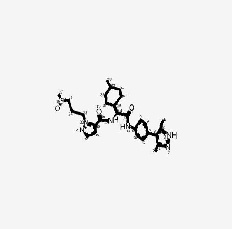 Cc1n[nH]c(C)c1-c1ccc(NC(=O)[C@@H](NC(=O)c2ccnn2CCC[S+](C)[O-])C2CCC(C)CC2)cc1